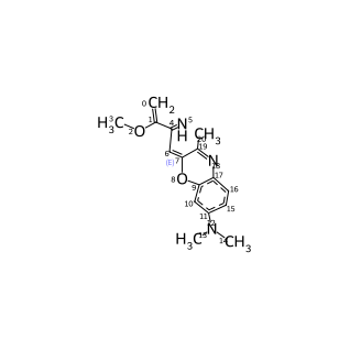 C=C(OC)C(=N)/C=C1/Oc2cc(N(C)C)ccc2N=C1C